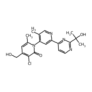 Cc1cnc(-c2ccnc(C(C)(C)O)n2)cc1-n1c(C)cc(CO)c(Cl)c1=O